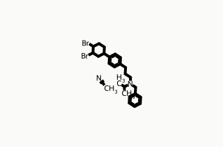 CC#N.CC(C)N(CCCc1ccc(C2CCC(Br)C(Br)C2)cc1)Cc1ccccc1